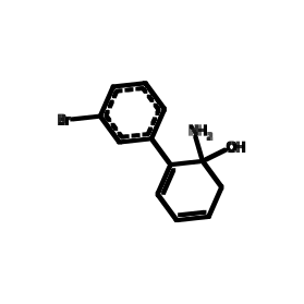 NC1(O)CC=CC=C1c1cccc(Br)c1